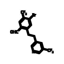 O=Cc1cc(C(F)(F)F)c(Br)cc1CCc1cncc(C(F)(F)F)c1